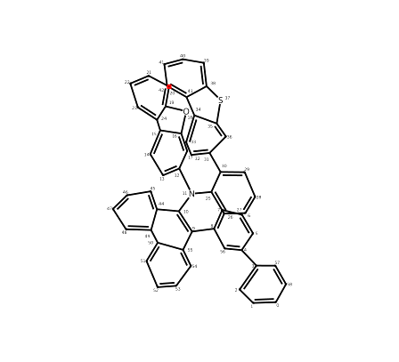 c1ccc(-c2cccc(-c3c(N(c4ccc5c(c4)oc4ccccc45)c4ccccc4-c4ccc5c(c4)sc4ccccc45)c4ccccc4c4ccccc34)c2)cc1